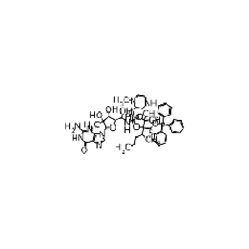 CCCC(C)C(OP(=O)(NC(O)[C@H]1O[C@@H](n2cnc3c(=O)[nH]c(N)nc32)[C@](C)(O)[C@@H]1O)OC1CNCCN1C)(C(=S)OC(c1ccccc1)(c1ccccc1)c1ccccc1)C(C)(C)C